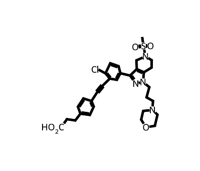 CS(=O)(=O)N1CCc2c(c(-c3ccc(Cl)c(C#Cc4ccc(CCC(=O)O)cc4)c3)nn2CCCN2CCOCC2)C1